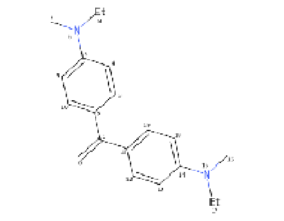 C=C(c1ccc(N(C)CC)cc1)c1ccc(N(C)CC)cc1